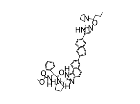 CCCC(=O)N1CCC[C@H]1c1ncc(-c2ccc3cc(-c4ccc5c(ccc6nc([C@@H]7[C@H]8CC[C@H](C8)N7C(=O)[C@H](NC(=O)OC)c7ccccc7)[nH]c65)c4)ccc3c2)[nH]1